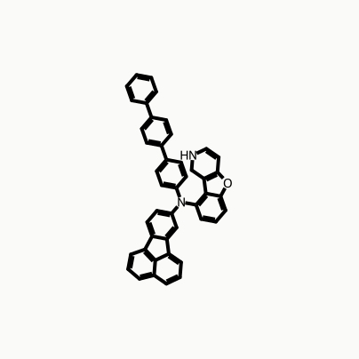 C1=Cc2oc3cccc(N(c4ccc(-c5ccc(-c6ccccc6)cc5)cc4)c4ccc5c(c4)-c4cccc6cccc-5c46)c3c2CN1